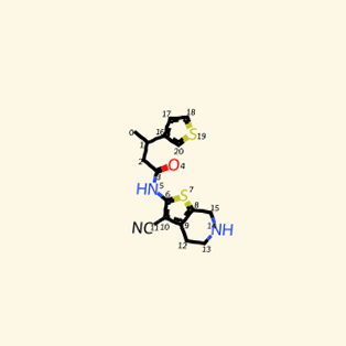 CC(CC(=O)Nc1sc2c(c1C#N)CCNC2)c1ccsc1